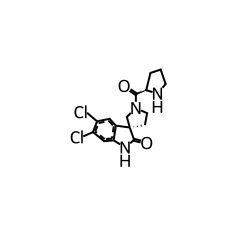 O=C([C@H]1CCCN1)N1CC[C@]2(C1)C(=O)Nc1cc(Cl)c(Cl)cc12